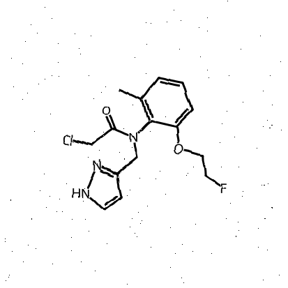 Cc1cccc(OCCF)c1N(Cc1cc[nH]n1)C(=O)CCl